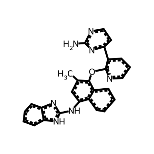 Cc1cc(Nc2nc3ccccc3[nH]2)c2ccccc2c1Oc1ncccc1-c1ccnc(N)n1